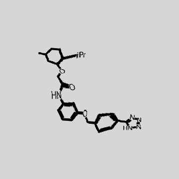 CC1CCC(C(C)C)C(OCC(=O)Nc2cccc(OCc3ccc(-c4nnn[nH]4)cc3)c2)C1